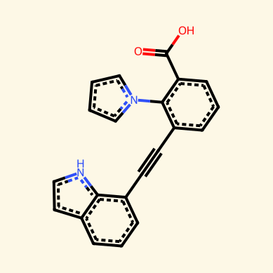 O=C(O)c1cccc(C#Cc2cccc3cc[nH]c23)c1-n1cccc1